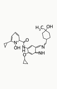 CC1(O)CCC(/C=N\C=C2\C=C(NC(=O)c3cccc(C4CC4)[n+]3O)C(OC3CC3)=CC2=N)CC1